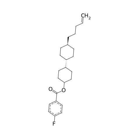 C=CCCC[C@H]1CC[C@H](C2CCC(OC(=O)c3ccc(F)cc3)CC2)CC1